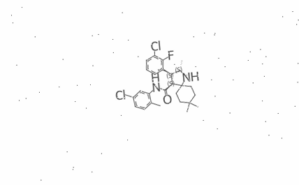 Cc1ccc(Cl)cc1NC(=O)[C@H]1[C@@H](c2cccc(Cl)c2F)[C@H](C)NC12CCC(C)(C)CC2